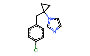 Clc1ccc(CC2(n3ccnc3)CC2)cc1